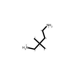 [CH2]C(C)(CN)CCN